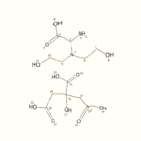 NC(C(=O)O)N(CCO)CCO.O=C(O)CC(O)(CC(=O)O)C(=O)O